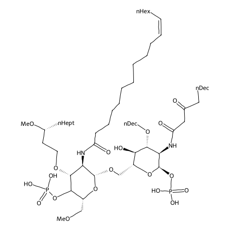 CCCCCC/C=C\CCCCCCCCCC(=O)N[C@H]1[C@H](OC[C@H]2O[C@H](OP(=O)(O)O)[C@H](NC(=O)CC(=O)CCCCCCCCCCC)[C@@H](OCCCCCCCCCC)[C@@H]2O)O[C@H](COC)C(OP(=O)(O)O)[C@@H]1OCC[C@@H](CCCCCCC)OC